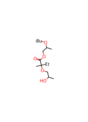 CCC(C)OC(C)COC(=O)C(C)(CC)OCC(C)O